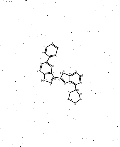 c1ccc(-c2cnc3[nH]nc(-c4cc5c(N6CCCCC6)cncc5[nH]4)c3c2)nc1